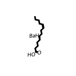 CCCC/C=C\CCCCCCCC(=O)O.[BaH2]